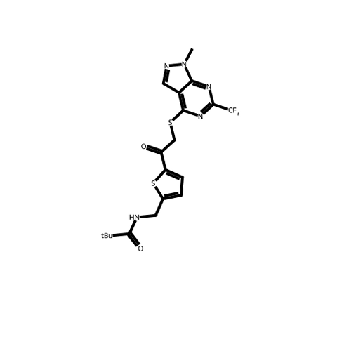 Cn1ncc2c(SCC(=O)c3ccc(CNC(=O)C(C)(C)C)s3)nc(C(F)(F)F)nc21